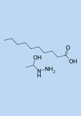 CC(O)NN.CCCCCCCCCC(=O)O